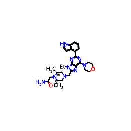 CCn1c(CN2C[C@@H](C)N(CC(N)=O)[C@@H](C)C2)nc2c(N3CCOCC3)nc(-c3cccc4[nH]ccc34)nc21